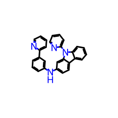 c1ccc(-c2cccc(Nc3ccc4c5ccccc5n(-c5ccccn5)c4c3)c2)nc1